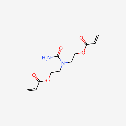 C=CC(=O)OCCN(CCOC(=O)C=C)C(N)=O